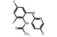 CC(=O)Nc1c(F)cc(F)cc1Nc1ccc(F)cn1